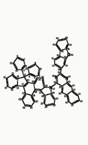 c1ccc(C2(c3ccccc3)c3ccccc3-c3c2c2ccc4c(c5ccccc5n4-c4nc(-c5ccc6c(c5)oc5ccccc56)nc5cc6ccccc6cc45)c2c2ccccc32)cc1